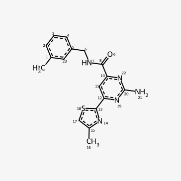 Cc1cccc(CNC(=O)c2cc(-c3nc(C)cs3)nc(N)n2)c1